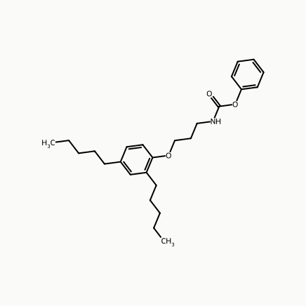 CCCCCc1ccc(OCCCNC(=O)Oc2ccccc2)c(CCCCC)c1